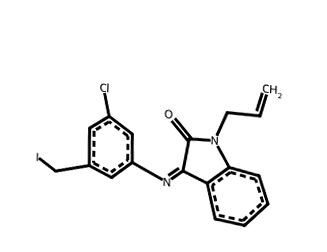 C=CCN1C(=O)C(=Nc2cc(Cl)cc(CI)c2)c2ccccc21